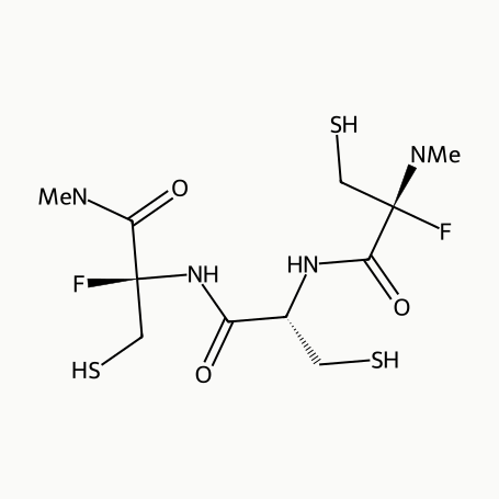 CNC(=O)[C@@](F)(CS)NC(=O)[C@@H](CS)NC(=O)[C@@](F)(CS)NC